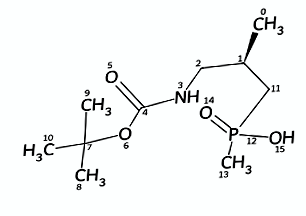 C[C@H](CNC(=O)OC(C)(C)C)CP(C)(=O)O